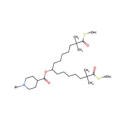 CCCCCCCCCCSC(=O)C(C)(C)CCCCCC(CCCCCC(C)(C)C(=O)SCCCCCCCCCC)OC(=O)C1CCN(C(C)C)CC1